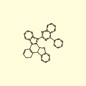 C1=CC2=C(CC1)C1c3ccccc3SC1c1c2c2ccccc2n1-c1nc(-c2ccccc2)c2ccccc2n1